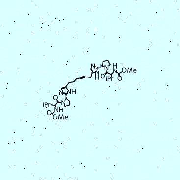 COC(=O)NC(C(=O)N1CCCC1c1ncc(CCCC#CCc2cnc([C@@H]3CCCN3C(=O)C(NC(=O)OC)C(C)C)[nH]2)[nH]1)C(C)C